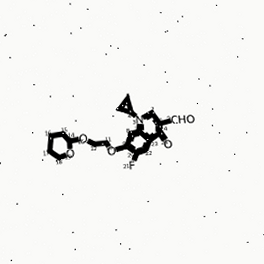 O=Cc1cn(C2CC2)c2cc(OCCOC3CCCCO3)c(F)cc2c1=O